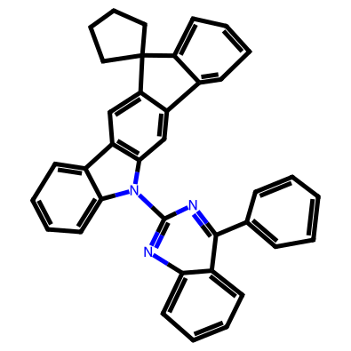 c1ccc(-c2nc(-n3c4ccccc4c4cc5c(cc43)-c3ccccc3C53CCCC3)nc3ccccc23)cc1